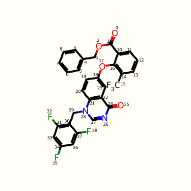 O=C(OCc1ccccc1)c1cccc(C(F)(F)F)c1Oc1ccc2c(c1)c(=O)ncn2Cc1c(F)cc(F)cc1F